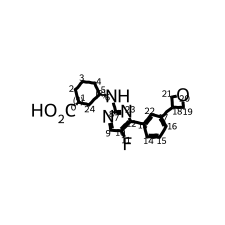 O=C(O)[C@H]1CCC[C@@H](Nc2ncc(F)c(-c3cccc(C4COC4)c3)n2)C1